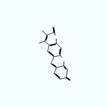 O=c1ccc2cc3cc4c(O)c(F)c(=O)oc4cc3oc-2c1